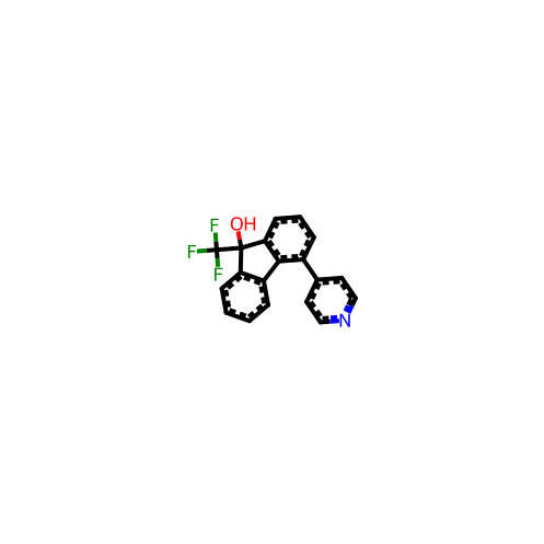 OC1(C(F)(F)F)c2ccccc2-c2c(-c3ccncc3)cccc21